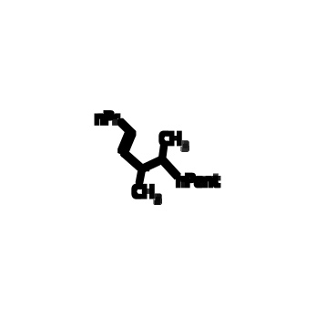 CCCC=C[C](C)C(C)CCCCC